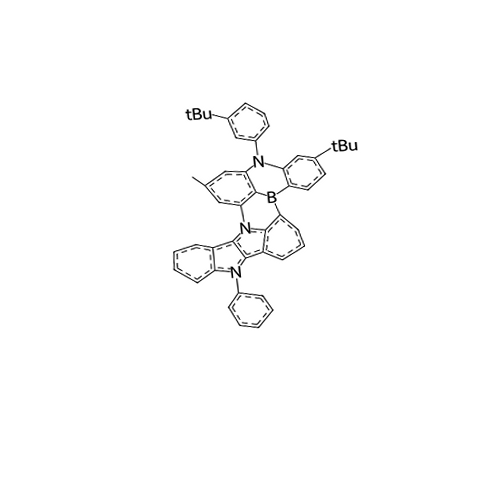 Cc1cc2c3c(c1)-n1c4c(cccc4c4c1c1ccccc1n4-c1ccccc1)B3c1ccc(C(C)(C)C)cc1N2c1cccc(C(C)(C)C)c1